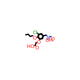 CCCCOc1c(Cl)cc(CN(O)C=O)cc1OCC(=O)O